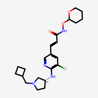 O=C(C=Cc1cnc(N[C@@H]2CCN(CC3CCC3)C2)c(Cl)c1)NOC1CCCCO1